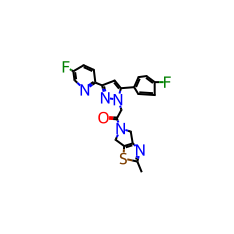 Cc1nc2c(s1)CN(C(=O)Cn1nc(-c3ccc(F)cn3)cc1-c1ccc(F)cc1)C2